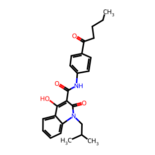 CCCCC(=O)c1ccc(NC(=O)c2c(O)c3ccccc3n(CC(C)C)c2=O)cc1